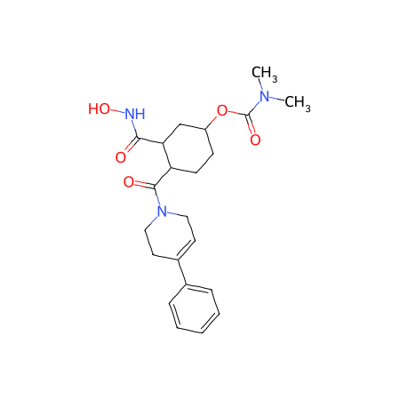 CN(C)C(=O)OC1CCC(C(=O)N2CC=C(c3ccccc3)CC2)C(C(=O)NO)C1